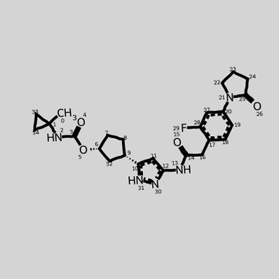 CC1(NC(=O)O[C@@H]2CC[C@H](c3cc(NC(=O)Cc4ccc(N5CCCC5=O)cc4F)n[nH]3)C2)CC1